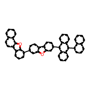 c1ccc2c(-c3c4ccccc4c(-c4ccc5c(c4)oc4cc(-c6cccc7c6oc6c8ccccc8ccc76)ccc45)c4ccccc34)cccc2c1